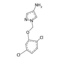 Nc1cnn(COc2cc(Cl)ccc2Cl)c1